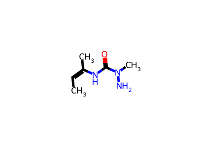 CC=C(C)NC(=O)N(C)N